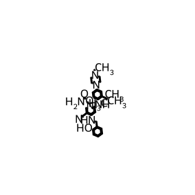 CCN1CCN(c2cc(OC(N)=O)c(Nc3cc(NCc4ccccc4O)c(C#N)cn3)c(C(C)(C)C)c2)CC1